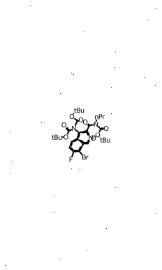 CCCN(C(=O)OC(C)(C)C)C(=O)c1c(N(C(=O)OC(C)(C)C)C(=O)OC(C)(C)C)c2ccc(F)c(Br)c2c[n+]1[O-]